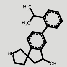 CC(C)c1ccccc1-c1ccc2c(c1)C(O)CC21CCNC1